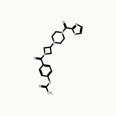 CC(=O)Oc1ccc(C(=O)N2CC(N3CCN(C(=O)c4nccs4)CC3)C2)cc1